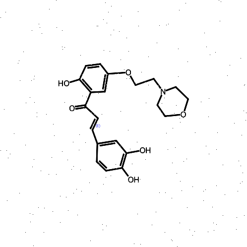 O=C(/C=C/c1ccc(O)c(O)c1)c1cc(OCCN2CCOCC2)ccc1O